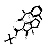 Cc1cccc(N(C)C(=O)[C@@H]2[C@H]3CCC[C@H]3C(=O)N2C(=O)OC(C)(C)C)c1